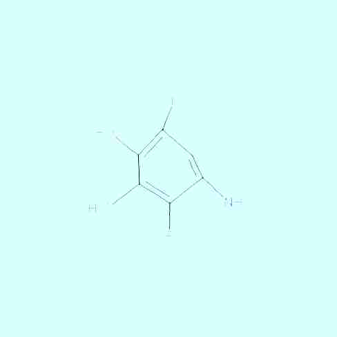 Cc1c(O)c(F)cc(N)c1F